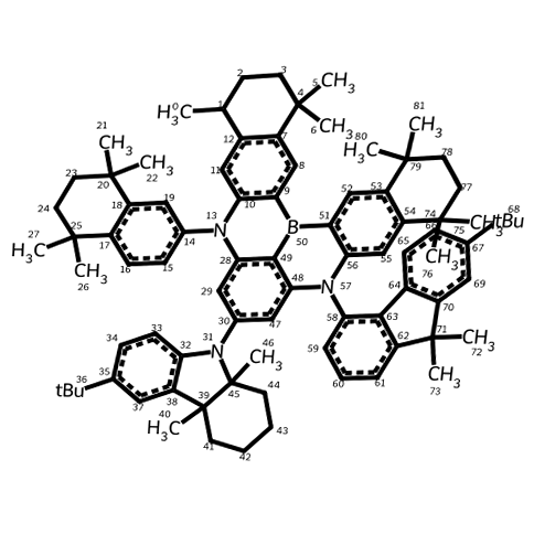 CC1CCC(C)(C)c2cc3c(cc21)N(c1ccc2c(c1)C(C)(C)CCC2(C)C)c1cc(N2c4ccc(C(C)(C)C)cc4C4(C)CCCCC24C)cc2c1B3c1cc3c(cc1N2c1cccc2c1-c1ccc(C(C)(C)C)cc1C2(C)C)C(C)(C)CCC3(C)C